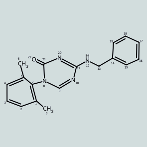 Cc1cccc(C)c1-n1cnc(NCc2ccccc2)nc1=O